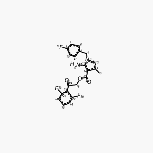 Cc1nn(Cc2ccc(F)cc2)c(N)c1C(=O)OCC(=O)c1c(F)cccc1F